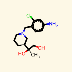 C[C@@](O)(CO)[C@H]1CCCN(Cc2ccc(N)cc2Cl)C1